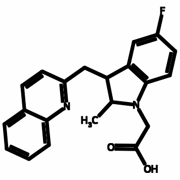 CC1C(Cc2ccc3ccccc3n2)c2cc(F)ccc2N1CC(=O)O